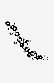 C=CC(=O)Nc1cc(Nc2nc(-c3ccnc(N4CCn5c(cc6c5CC(C)(C)C6)C4=O)c3CO)cnc2OC)ccc1N1CCN(C2CCN(c3ccc4c(c3)C(=O)N(C3CCCCC3)C4=O)[C@H](C)C2)C[C@@H]1C